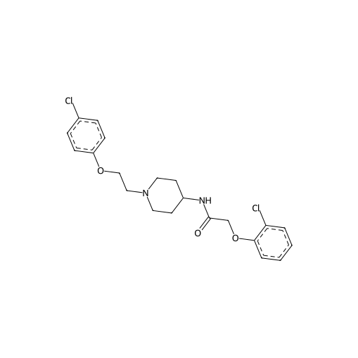 O=C(COc1ccccc1Cl)NC1CCN(CCOc2ccc(Cl)cc2)CC1